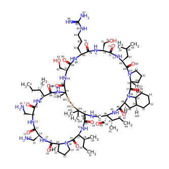 CC[C@H](C)[C@@H]1NC(=O)[C@H](CN)NC(=O)[C@H](CN)NC(=O)[C@@H]2CCCN2C(=O)[C@H]([C@@H](C)CC)NC(=O)[C@H]2NC[C@](C=O)([C@@H](C)CC)NC(=O)[C@@H]3C[C@@H]4CCCC[C@@H]4N3C(=O)[C@H]3CCCN3C(=O)[C@H](CC(C)C)NC(=O)[C@H](CO)NC(=O)[C@H](CCCNC(=N)N)NC(=O)[C@H](CO)NC(=O)[C@@H](NC1=O)SSC2(C)C